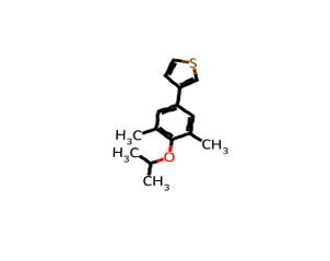 Cc1cc(-c2ccsc2)cc(C)c1OC(C)C